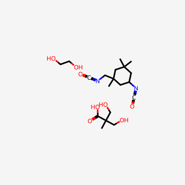 CC(CO)(CO)C(=O)O.CC1(C)CC(N=C=O)CC(C)(CN=C=O)C1.OCCO